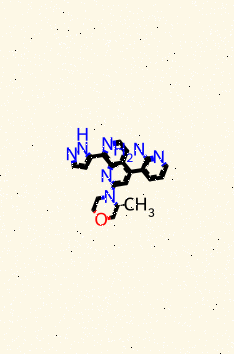 C[C@@H]1COCCN1c1cc(-c2cccnc2N)c2ccnc(-c3ccn[nH]3)c2n1